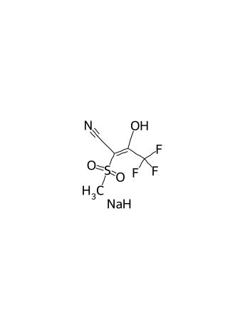 CS(=O)(=O)/C(C#N)=C(/O)C(F)(F)F.[NaH]